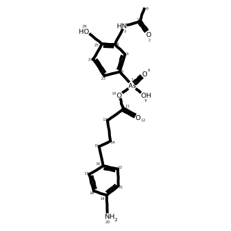 CC(=O)Nc1cc([As](=O)(O)OC(=O)CCCc2ccc(N)cc2)ccc1O